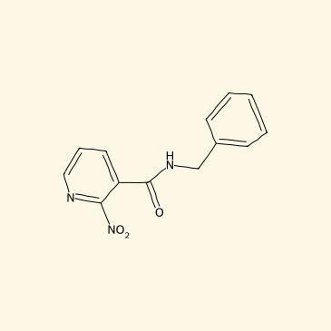 O=C(NCc1ccccc1)c1cccnc1[N+](=O)[O-]